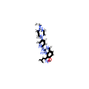 CC(C)Cc1noc2ccc3cnc(Nc4ccc(N5CCN(C)CC5)cn4)nc3c12